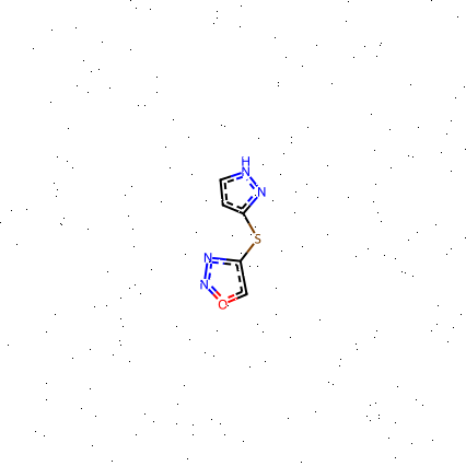 c1cc(Sc2conn2)n[nH]1